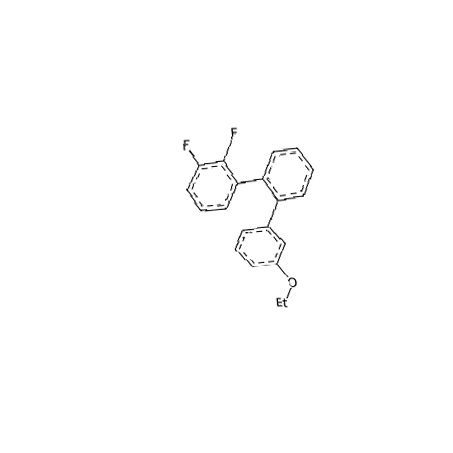 CCOc1cccc(-c2ccccc2-c2cccc(F)c2F)c1